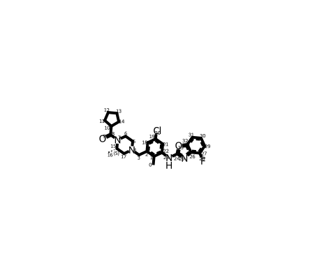 Cc1c(CN2CCN(C(=O)C3CCCC3)[C@@H](C)C2)cc(Cl)cc1Nc1nc2c(F)cccc2o1